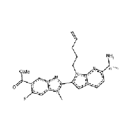 C=CCCCn1c(-c2nc3cc(C(=O)OC)c(F)cc3n2C)cc2ccc([C@@H](C)N)nc21